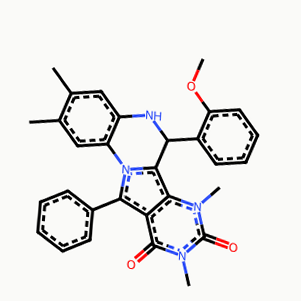 COc1ccccc1C1Nc2cc(C)c(C)cc2-n2c(-c3ccccc3)c3c(=O)n(C)c(=O)n(C)c3c21